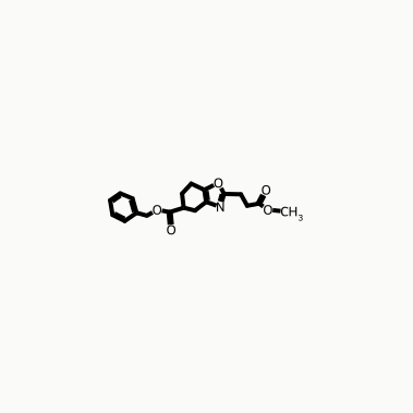 COC(=O)CCc1nc2c(o1)CCC(C(=O)OCc1ccccc1)C2